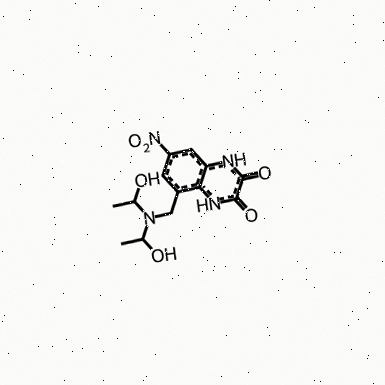 CC(O)N(Cc1cc([N+](=O)[O-])cc2[nH]c(=O)c(=O)[nH]c12)C(C)O